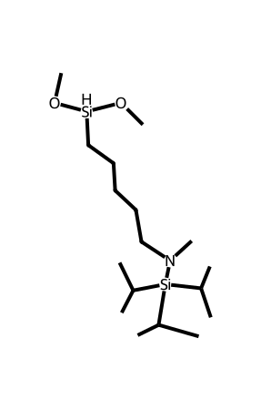 CO[SiH](CCCCCN(C)[Si](C(C)C)(C(C)C)C(C)C)OC